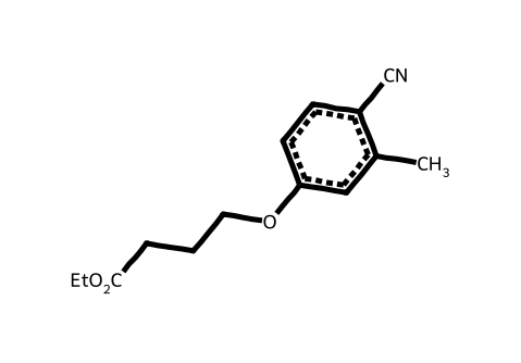 CCOC(=O)CCCOc1ccc(C#N)c(C)c1